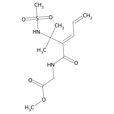 C=C/C=C(/C(=O)NCC(=O)OC)C(C)(C)NS(C)(=O)=O